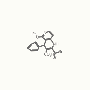 CC(C)Oc1nccc2c1C(c1ccccc1)C(C(=O)O)=C(C(Br)Br)N2